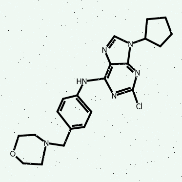 Clc1nc(Nc2ccc(CN3CCOCC3)cc2)c2ncn(C3CCCC3)c2n1